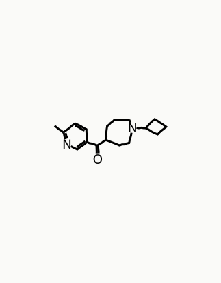 Cc1ccc(C(=O)C2CCCN(C3CCC3)CC2)cn1